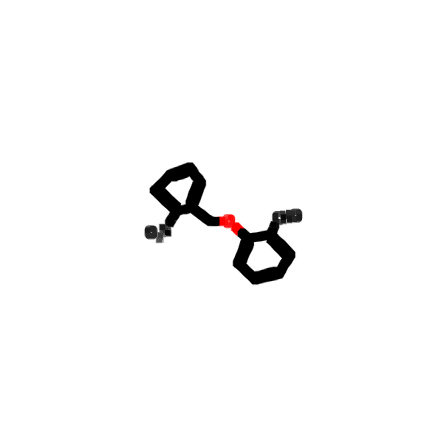 O=Cc1ccccc1OCc1ccccc1[N+](=O)[O-]